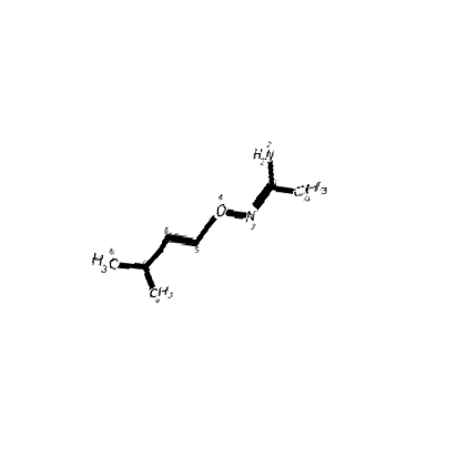 C/C(N)=N/OCCC(C)C